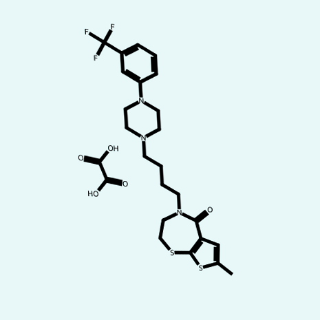 Cc1cc2c(s1)SCCN(CCCCN1CCN(c3cccc(C(F)(F)F)c3)CC1)C2=O.O=C(O)C(=O)O